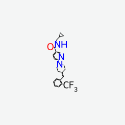 O=C(NCC1CC1)c1ccc(N2CCC(=Cc3ccccc3C(F)(F)F)CC2)nc1